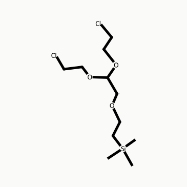 C[Si](C)(C)CCO[CH]C(OCCCl)OCCCl